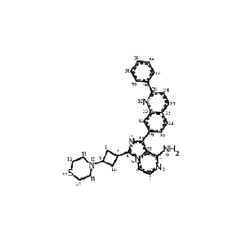 Nc1nccn2c(C3CC(N4CCSCC4)C3)nc(-c3ccc4ccc(-c5ccccc5)nc4c3)c12